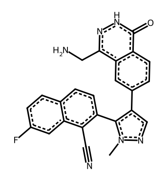 Cn1ncc(-c2ccc3c(=O)[nH]nc(CN)c3c2)c1-c1ccc2ccc(F)cc2c1C#N